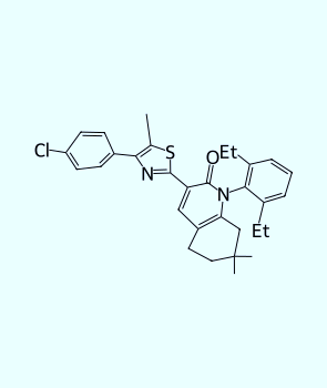 CCc1cccc(CC)c1-n1c2c(cc(-c3nc(-c4ccc(Cl)cc4)c(C)s3)c1=O)CCC(C)(C)C2